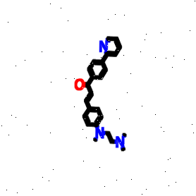 CN(C)CCN(C)c1ccc(C=CC(=O)c2ccc(-c3ccccn3)cc2)cc1